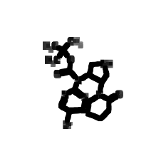 CC(C)(C)OC(=O)N(c1ncc(Br)cn1)C1CNCC1N1CCCCC1=O